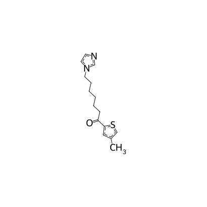 Cc1csc(C(=O)CCCCCCn2ccnc2)c1